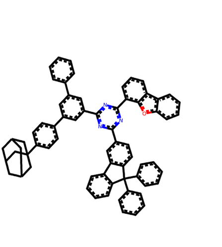 c1ccc(-c2cc(-c3ccc(C45CC6CC(CC(C6)C4)C5)cc3)cc(-c3nc(-c4ccc5c(c4)-c4ccccc4C5(c4ccccc4)c4ccccc4)nc(-c4cccc5c4oc4ccccc45)n3)c2)cc1